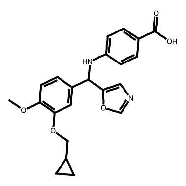 COc1ccc(C(Nc2ccc(C(=O)O)cc2)c2cnco2)cc1OCC1CC1